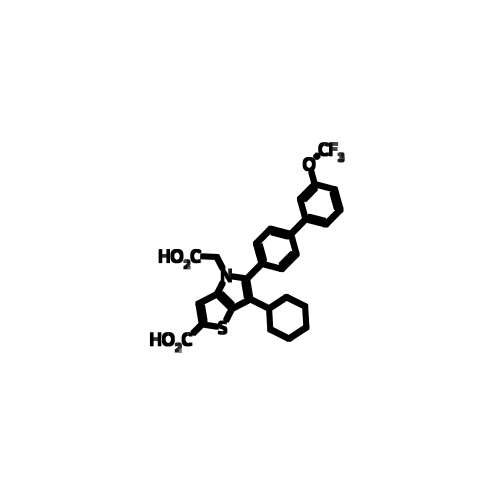 O=C(O)Cn1c(-c2ccc(-c3cccc(OC(F)(F)F)c3)cc2)c(C2CCCCC2)c2sc(C(=O)O)cc21